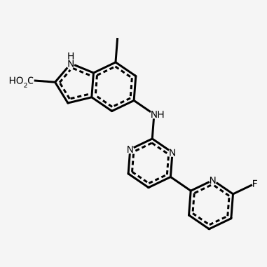 Cc1cc(Nc2nccc(-c3cccc(F)n3)n2)cc2cc(C(=O)O)[nH]c12